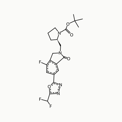 CC(C)(C)OC(=O)N1CCC[C@@H]1CN1Cc2c(F)cc(-c3nnc(C(F)F)o3)cc2C1=O